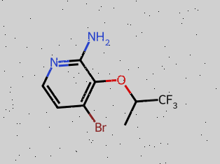 CC(Oc1c(Br)ccnc1N)C(F)(F)F